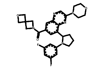 O=C(c1cc(C2CCCN2c2cc(F)cc(F)c2)c2nc(N3CCOCC3)cnc2c1)N1CC2(COC2)C1